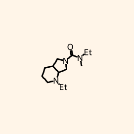 CCN(C)C(=O)N1CC2CCCN(CC)C2C1